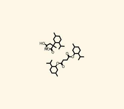 CC1CCC(C(C)C)C(C(C)(CC(=O)O)C(=O)O)C1.CC1CCC(C(C)C)C(OC(=O)CCC(=O)OC2CC(C)CCC2C(C)C)C1